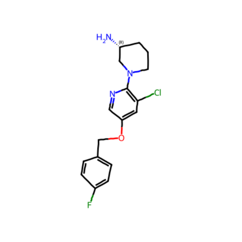 N[C@@H]1CCCN(c2ncc(OCc3ccc(F)cc3)cc2Cl)C1